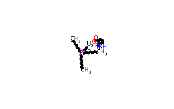 CCCCCCCC[P+](CCCC)(CCCCCCCC)CCCCCCCC.O=C([O-])c1cccc2[nH]nnc12